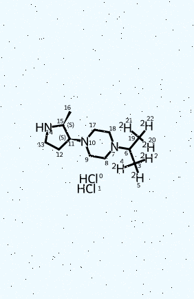 Cl.Cl.[2H]C([2H])([2H])C(N1CCN([C@H]2CCN[C@H]2C)CC1)C([2H])([2H])[2H]